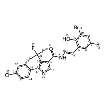 O=C(N/N=C/c1cc(Br)cc(Br)c1O)c1cnn(-c2ccc(Cl)cc2)c1C(F)(F)F